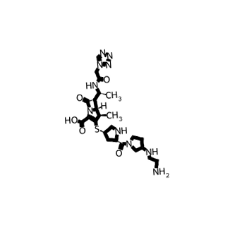 C[C@@H](NC(=O)Cn1cnnn1)[C@H]1C(=O)N2C(C(=O)O)=C(S[C@@H]3CN[C@H](C(=O)N4CCC(NCCN)C4)C3)[C@H](C)[C@H]12